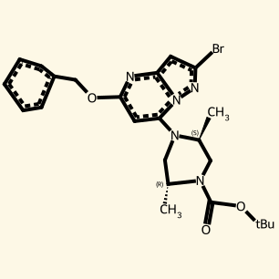 C[C@@H]1CN(c2cc(OCc3ccccc3)nc3cc(Br)nn23)[C@@H](C)CN1C(=O)OC(C)(C)C